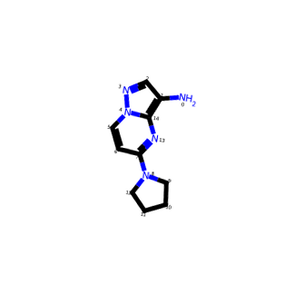 Nc1cnn2ccc(N3CCCC3)nc12